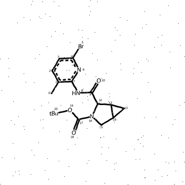 Cc1ccc(Br)nc1NC(=O)C1C2CC2CN1C(=O)OC(C)(C)C